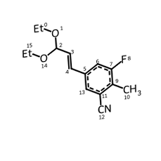 CCOC(/C=C/c1cc(F)c(C)c(C#N)c1)OCC